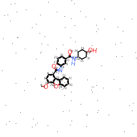 COc1ccc(-c2nc3cc(C(=O)NC4CCC(O)CC4)ccc3o2)c2c1oc1ccccc12